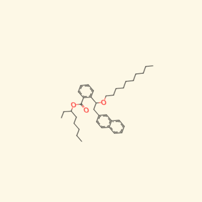 CCCCCCCCCCOC(Cc1ccc2ccccc2c1)c1ccccc1C(=O)OC(CC)CCCCC